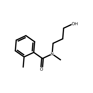 Cc1ccccc1C(=O)N(C)CCCO